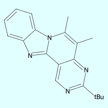 Cc1c(C)n2c3ccccc3nc2c2cnc(C(C)(C)C)nc12